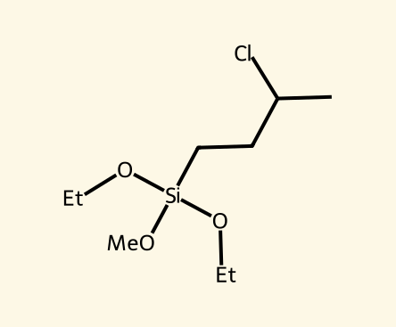 CCO[Si](CCC(C)Cl)(OC)OCC